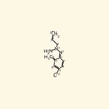 C=CCN(N)/N=C1/C=CC(Cl)=CC1=C